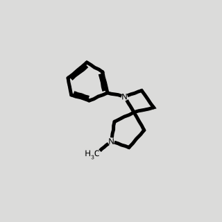 CN1CCC2(CCN2c2ccccc2)C1